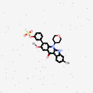 CCOc1cc2c(=O)c3c4ccc(C#N)cc4[nH]c3n(C3CCOCC3)c2cc1-c1cccc(OS(=O)(=O)F)c1